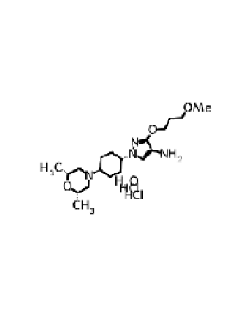 COCCCOc1nn([C@H]2CC[C@H](N3C[C@@H](C)O[C@@H](C)C3)CC2)cc1N.Cl.Cl.O